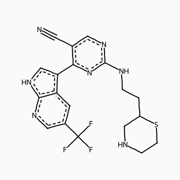 N#Cc1cnc(NCCC2CNCCS2)nc1-c1c[nH]c2ncc(C(F)(F)F)cc12